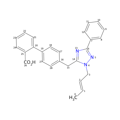 C/C=C/Cn1nc(-c2ccccc2)nc1Cc1ccc(-c2ccccc2C(=O)O)cc1